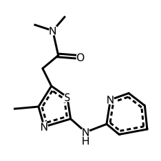 Cc1nc(Nc2ccccn2)sc1CC(=O)N(C)C